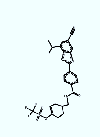 CC(C)c1cc(C#N)cc2nc(-c3ccc(C(=O)NCC4CC=C(OS(=O)(=O)C(F)(F)F)CC4)cc3)oc12